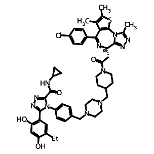 CCc1cc(-c2nnc(C(=O)NC3CC3)n2-c2ccc(CN3CCN(CC4CCN(C(=O)C[C@@H]5N=C(c6ccc(Cl)cc6)c6c(sc(C)c6C)-n6c(C)nnc65)CC4)CC3)cc2)c(O)cc1O